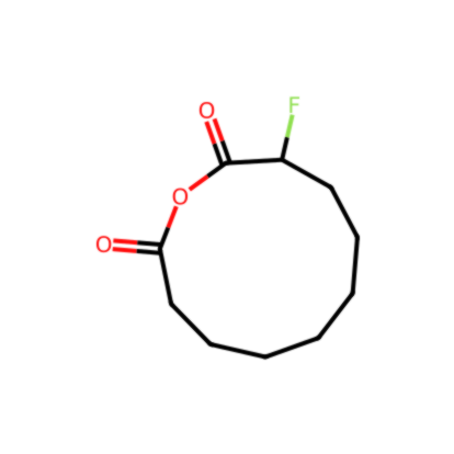 O=C1CCCCCCCC(F)C(=O)O1